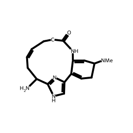 CNC1C=C2NC(=O)CC/C=C\CC(N)c3nc(c[nH]3)C2=CC1